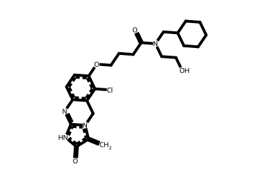 C=c1c(=O)[nH]c2n1Cc1c(ccc(OCCCC(=O)N(CCO)CC3CCCCC3)c1Cl)N=2